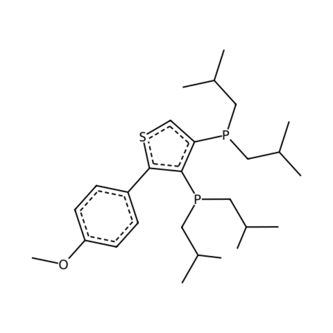 COc1ccc(-c2scc(P(CC(C)C)CC(C)C)c2P(CC(C)C)CC(C)C)cc1